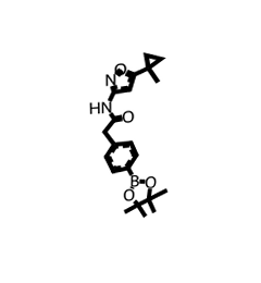 CC1(c2cc(NC(=O)Cc3ccc(B4OC(C)(C)C(C)(C)O4)cc3)no2)CC1